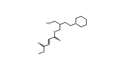 COC(=O)/C=C/C(=O)OCC(CO)CCN1CCCCC1